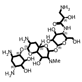 CNC1C(O[C@H]2OC(CO)[C@@H](NC(=O)[C@H](O)CN)C(O)C2O)O[C@H]2CC(N)[C@@H](O[C@@H]3C(N)C[C@@H](N)C(O)C3O)OC2C1O